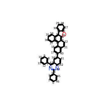 c1ccc(-c2nc(-c3ccccc3)c3cc(-c4ccc5c(ccc6c7oc8ccccc8c7c7ccccc7c56)c4)ccc3n2)cc1